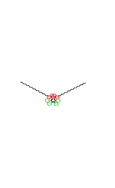 CCCCCCCCCCCCCCCCCCOC(=O)c1c(Cl)c(Cl)c(Cl)c(Cl)c1C(=O)OCCCCCCCCCCCCCCCCCC